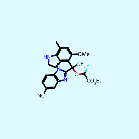 CCOC(=O)C(F)OC(c1nc2cc(C#N)ccc2[nH]1)(c1c(OC)cc(C)c2c1CCN2)C(F)(F)F